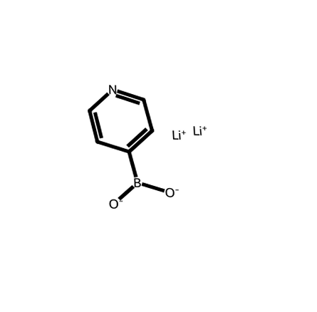 [Li+].[Li+].[O-]B([O-])c1ccncc1